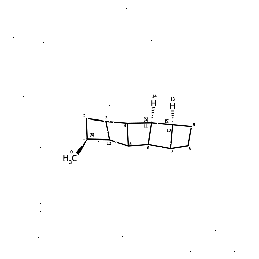 C[C@H]1CC2C3C(C4C5CC[C@@H]5[C@H]34)C21